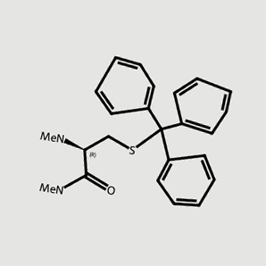 CNC(=O)[C@H](CSC(c1ccccc1)(c1ccccc1)c1ccccc1)NC